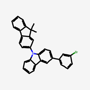 CC1(C)c2ccccc2-c2ccc(-n3c4ccccc4c4cc(-c5cccc(Br)c5)ccc43)cc21